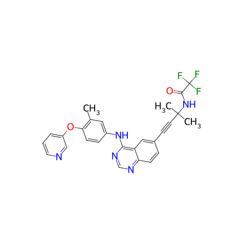 Cc1cc(Nc2ncnc3ccc(C#CC(C)(C)NC(=O)C(F)(F)F)cc23)ccc1Oc1cccnc1